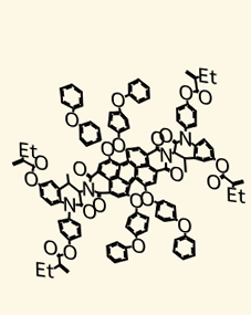 C=C(CC)C(=O)Oc1ccc(N2C(=O)C(N3C(=O)c4cc(Oc5ccc(Oc6ccccc6)cc5)c5c6c(Oc7ccc(Oc8ccccc8)cc7)cc7c8c(cc(Oc9ccc(Oc%10ccccc%10)cc9)c(c9c(Oc%10ccc(Oc%11ccccc%11)cc%10)cc(c4c59)C3=O)c86)C(=O)N(C3C(=O)N(c4ccc(OC(=O)C(=C)CC)cc4)c4ccc(OC(=O)C(=C)CC)cc4C3C)C7=O)C(C)c3cc(OC(=O)C(=C)CC)ccc32)cc1